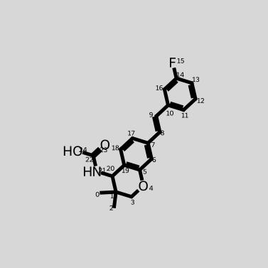 CC1(C)COc2cc(/C=C/c3cccc(F)c3)ccc2C1NC(=O)O